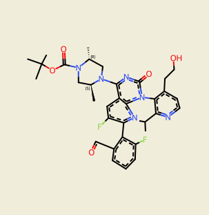 CC(C)c1nccc(CCO)c1-n1c(=O)nc(N2C[C@@H](C)N(C(=O)OC(C)(C)C)C[C@@H]2C)c2cc(F)c(-c3c(F)cccc3C=O)nc21